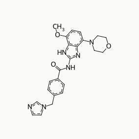 COc1ccc(N2CCOCC2)c2nc(NC(=O)c3ccc(Cn4ccnc4)cc3)[nH]c12